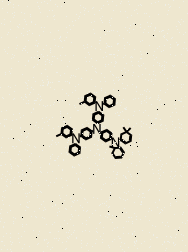 Cc1cccc(N(c2ccccc2)c2ccc(N(c3ccc(N(c4ccccc4)c4cccc(C)c4)cc3)c3ccc(N(C4=CC=CC(C)(C)C4)C4(C)C=CC=CC4)cc3)cc2)c1